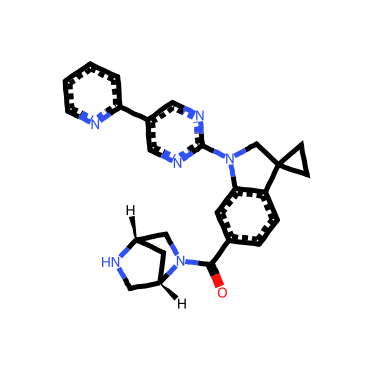 O=C(c1ccc2c(c1)N(c1ncc(-c3ccccn3)cn1)CC21CC1)N1C[C@@H]2C[C@H]1CN2